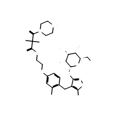 Cc1cc(OCCNC(=O)C(C)(C)C(=O)N2CCNCC2)ccc1Cc1c(O[C@@H]2O[C@H](CO)[C@@H](O)[C@H](O)[C@H]2O)n[nH]c1C(C)C